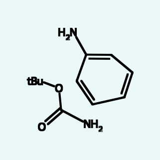 CC(C)(C)OC(N)=O.Nc1ccccc1